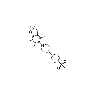 Cc1c(C)c(N2CCN(c3ccc(S(C)(=O)=O)cc3)CC2)c(C)c2c1OC(C)(C)C2